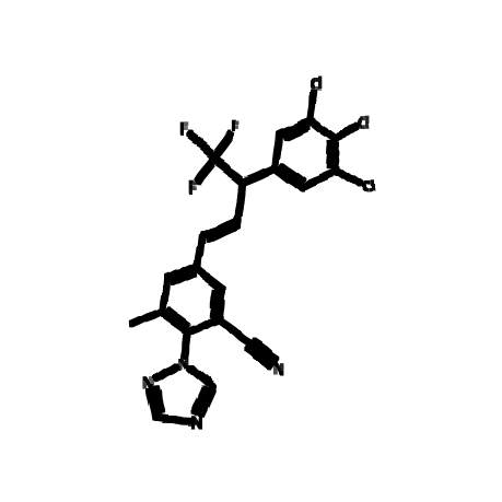 Cc1cc(/C=C/C(c2cc(Cl)c(Cl)c(Cl)c2)C(F)(F)F)cc(C#N)c1-n1cncn1